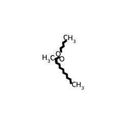 CCCCCCCCCC=C(C)C(=O)OCCCCCC